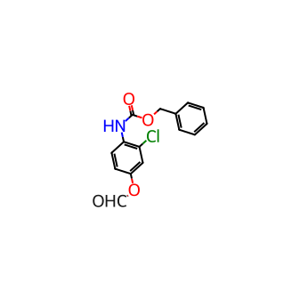 O=COc1ccc(NC(=O)OCc2ccccc2)c(Cl)c1